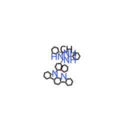 CC1(c2ccccc2)NC(c2ccccc2)NC(c2ccc(-n3c4ccccc4c4ccc5c6ccccc6n(-c6ccccc6)c5c43)cc2)N1